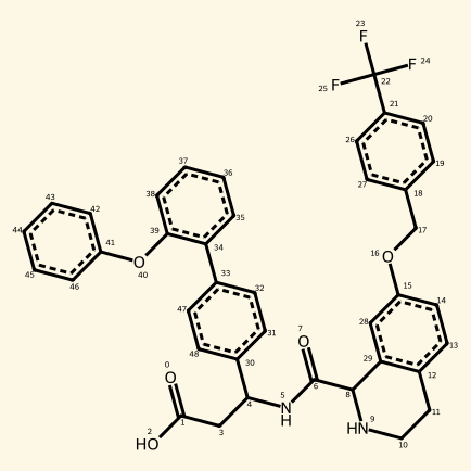 O=C(O)CC(NC(=O)C1NCCc2ccc(OCc3ccc(C(F)(F)F)cc3)cc21)c1ccc(-c2ccccc2Oc2ccccc2)cc1